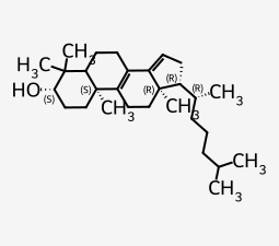 CC(C)CCC[C@@H](C)[C@H]1CC=C2C3=C(CC[C@@]21C)[C@@]1(C)CC[C@H](O)C(C)(C)C1CC3